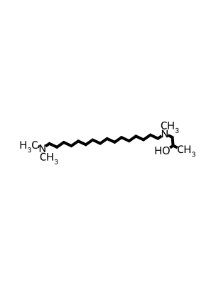 CC(O)CN(C)CCCCCCCCCCCCCCCCN(C)C